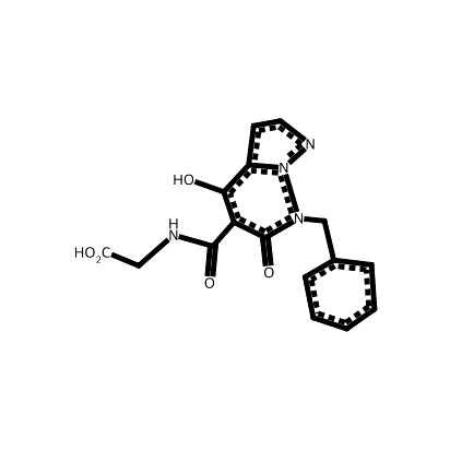 O=C(O)CNC(=O)c1c(O)c2ccnn2n(Cc2ccccc2)c1=O